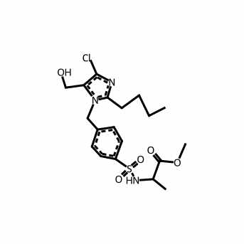 CCCCc1nc(Cl)c(CO)n1Cc1ccc(S(=O)(=O)NC(C)C(=O)OC)cc1